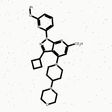 CC(C)Oc1cccc(-n2nc(C3CCC3)c3c(N4CCC(N5CCOCC5)CC4)cc(C(=O)O)nc32)n1